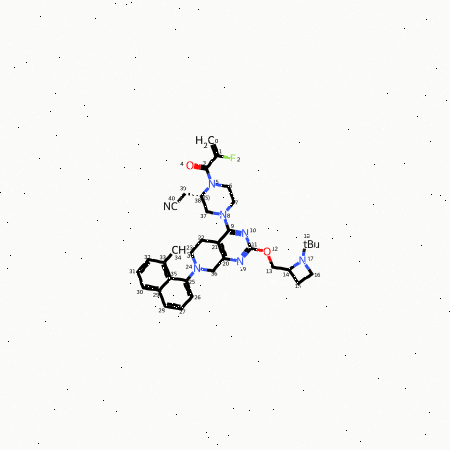 C=C(F)C(=O)N1CCN(c2nc(OCC3CCN3C(C)(C)C)nc3c2CCN(c2cccc4cccc(C)c24)C3)C[C@@H]1CC#N